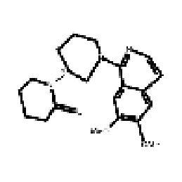 COc1cc2ccnc(N3CCC[C@@H](N4CCCCC4=O)C3)c2cc1OC